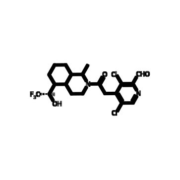 CC1C2CCCC([C@H](O)C(F)(F)F)C2CCN1C(=O)Cc1c(Cl)cnc(C=O)c1Cl